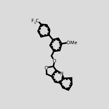 COc1cc(COC2OCc3cc4ccccc4nc32)cc(-c2ccc(C(F)(F)F)cc2)c1